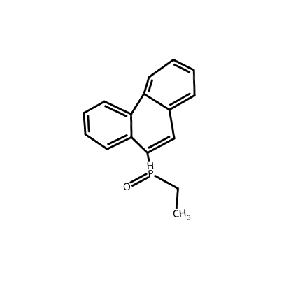 CC[PH](=O)c1cc2ccccc2c2ccccc12